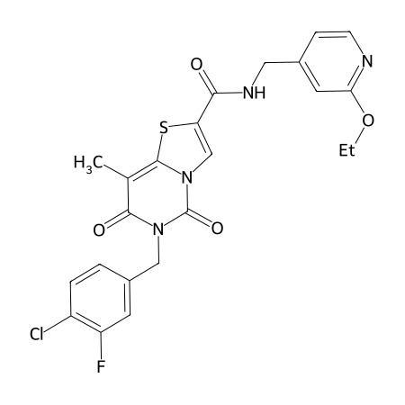 CCOc1cc(CNC(=O)c2cn3c(=O)n(Cc4ccc(Cl)c(F)c4)c(=O)c(C)c3s2)ccn1